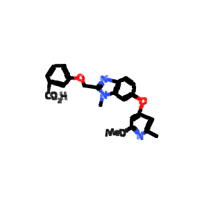 COc1cc(Oc2ccc3nc(COc4cccc(C(=O)O)c4)n(C)c3c2)cc(C)n1